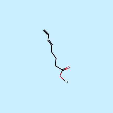 C=CC=CCCCC(=O)OCC